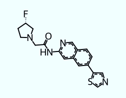 O=C(CN1CC[C@H](F)C1)Nc1cc2cc(-c3cncs3)ccc2cn1